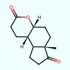 C[C@]12CC[C@H]3OC(=O)CC[C@H]3C1CCC2=O